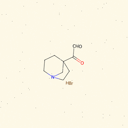 Br.O=CC(=O)C12CCCN(CC1)C2